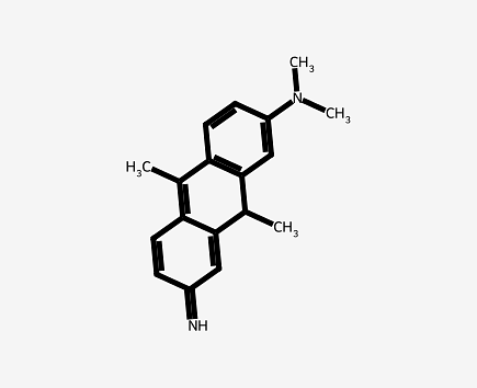 CC1=C2C=CC(=N)C=C2C(C)c2cc(N(C)C)ccc21